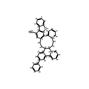 CC(C)(C)c1cc2c(c3oc4ccccc4c13)-c1cccc[n+]1CCC1C(CC2)c2ccc(-c3ccccc3)cc2-c2cccc[n+]21